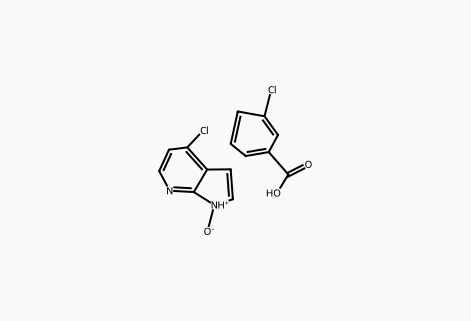 O=C(O)c1cccc(Cl)c1.[O-][NH+]1C=Cc2c(Cl)ccnc21